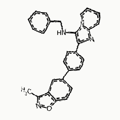 Cc1noc2ccc(-c3ccc(-c4nc5ccccn5c4NCc4ccccc4)cc3)cc12